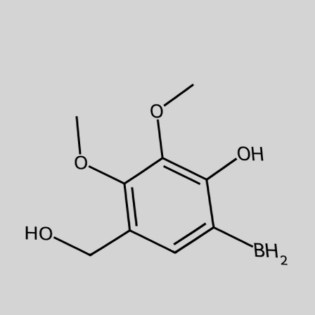 Bc1cc(CO)c(OC)c(OC)c1O